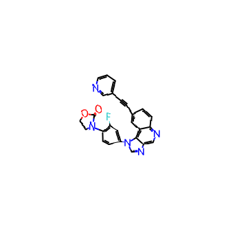 O=C1OCCN1c1ccc(-n2cnc3cnc4ccc(C#Cc5cccnc5)cc4c32)cc1F